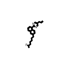 C=CCc1cnc(-c2cccc3cc(CCCCCC(C)F)ccc23)nc1